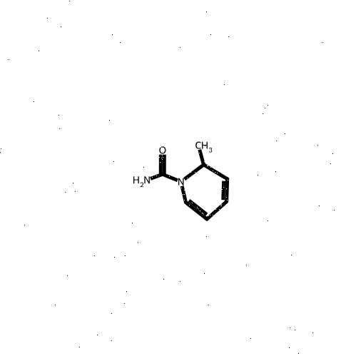 CC1C=CC=CN1C(N)=O